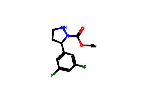 CC(C)(C)OC(=O)N1NCCC1c1cc(F)cc(F)c1